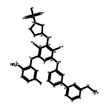 Cc1ccc(C(=O)O)c(Oc2nc(Oc3cccc(-c4cccc(CN)c4)c3)c(F)c(OC3CCN(S(C)(=O)=O)C3)c2F)c1